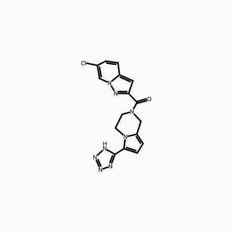 O=C(c1cc2ccc(Cl)cn2n1)N1CCn2c(ccc2-c2nnn[nH]2)C1